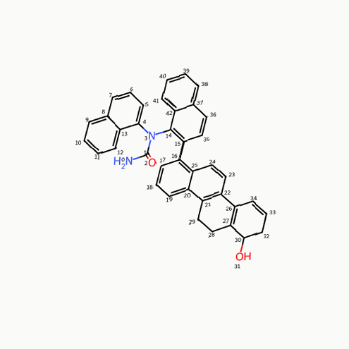 NC(=O)N(c1cccc2ccccc12)c1c(-c2cccc3c4c(ccc23)C2=C(CC4)C(O)CC=C2)ccc2ccccc12